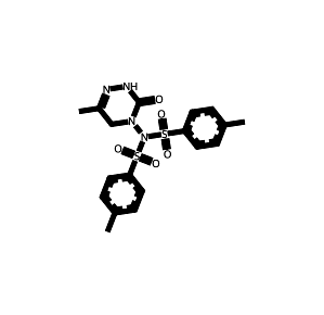 CC1=NNC(=O)N(N(S(=O)(=O)c2ccc(C)cc2)S(=O)(=O)c2ccc(C)cc2)C1